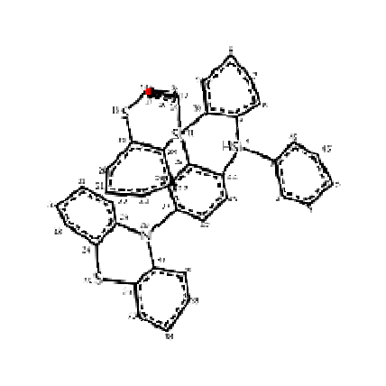 c1ccc([SiH]2c3ccccc3[Si]3(c4ccccc4Sc4ccccc43)c3cc(N4c5ccccc5Sc5ccccc54)ccc32)cc1